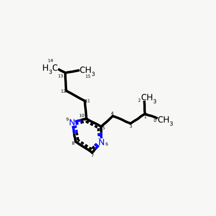 CC(C)CCc1nccnc1CCC(C)C